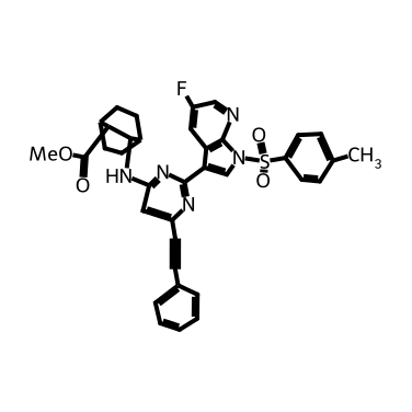 COC(=O)C1C2CCC(CC2)C1Nc1cc(C#Cc2ccccc2)nc(-c2cn(S(=O)(=O)c3ccc(C)cc3)c3ncc(F)cc23)n1